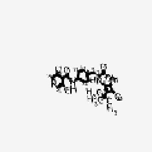 CC(C)(C)c1c(N[C@@H](Cc2ccc(NC(=O)c3c(Cl)cncc3Cl)cc2)C(=O)O)c(=O)c1=O